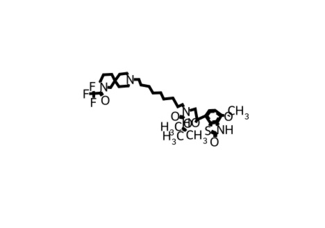 COc1ccc(C(O)CN(CCCCCCCCCN2CCC3(CCCN(C(=O)C(F)(F)F)C3)CC2)C(=O)OC(C)(C)C)c2sc(=O)[nH]c12